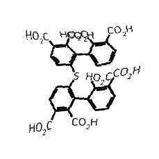 O=C(O)c1cccc(-c2c(Sc3ccc(C(=O)O)c(C(=O)O)c3-c3cccc(C(=O)O)c3C(=O)O)ccc(C(=O)O)c2C(=O)O)c1C(=O)O